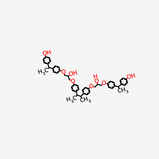 CC(c1ccc(O)cc1)c1ccc(OCC(O)COc2ccc(C(C)C(C)c3ccc(OCC(O)COc4ccc(C(C)c5ccc(O)cc5)cc4)cc3)cc2)cc1